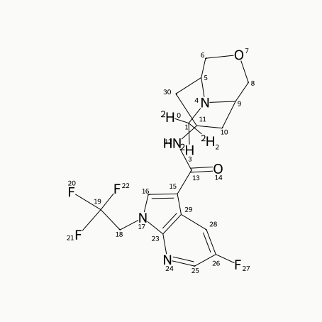 [2H]C([2H])([2H])N1C2COCC1CC(NC(=O)c1cn(CC(F)(F)F)c3ncc(F)cc13)C2